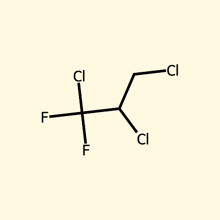 FC(F)(Cl)C(Cl)CCl